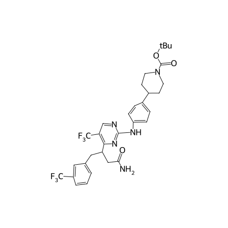 CC(C)(C)OC(=O)N1CCC(c2ccc(Nc3ncc(C(F)(F)F)c(C(CC(N)=O)Cc4cccc(C(F)(F)F)c4)n3)cc2)CC1